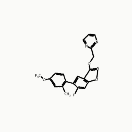 Cc1cc(OC(F)(F)F)ccc1-c1cc2c(OCc3ncccn3)noc2cc1F